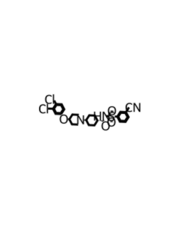 N#Cc1cccc(S(=O)(=O)NC(=O)[C@H]2CC[C@H](N3CCC(Oc4ccc(Cl)c(Cl)c4)CC3)CC2)c1